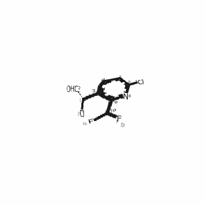 O=C[C@@H](Cl)c1ccc(Cl)nc1C(F)F